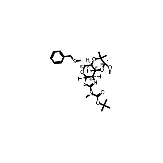 CO[C@@]1(C)O[C@@H]2[C@H]3N=C(N(C)C(=O)OC(C)(C)C)S[C@H]3O[C@H](CSCc3ccccc3)[C@H]2OC1(C)C